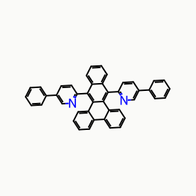 c1ccc(-c2ccc(-c3c4ccccc4c(-c4ccc(-c5ccccc5)cn4)c4c5ccccc5c5ccccc5c34)nc2)cc1